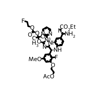 CCOC(=O)N=C(N)c1ccc(N[C@H](c2cc(OC)cc(OCCOC(C)=O)c2F)C2N=C(OC(C)(C)OC(=O)OCCF)N(c3ncccn3)N2)cc1